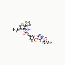 CNC(=O)c1cc(Oc2ccc(CNC(=O)Nc3cc(C(F)(F)F)ccc3-n3ccnc3)cc2)ccn1